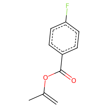 C=C(C)OC(=O)c1ccc(F)cc1